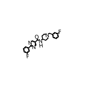 O=C(NC1CCN(Cc2cccc(F)c2)CC1)c1cnc(-c2cccc(F)c2)nc1